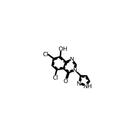 O=c1c2c(Cl)cc(Cl)c(O)c2ncn1-c1cc[nH]n1